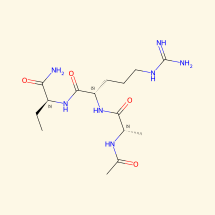 CC[C@H](NC(=O)[C@H](CCCNC(=N)N)NC(=O)[C@H](C)NC(C)=O)C(N)=O